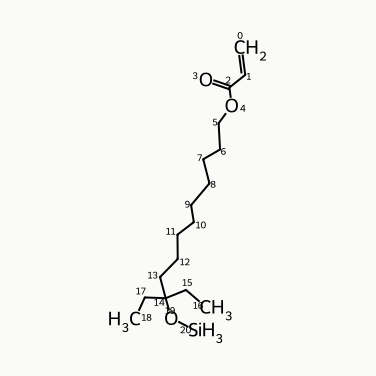 C=CC(=O)OCCCCCCCCCC(CC)(CC)O[SiH3]